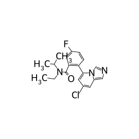 CCN(C(=O)c1cc(F)ccc1-c1cc(Cl)cc2cncn12)C(C)C